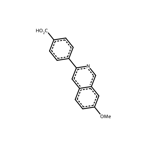 COc1ccc2cc(-c3ccc(C(=O)O)cc3)ncc2c1